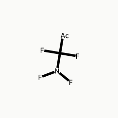 CC(=O)C(F)(F)N(F)F